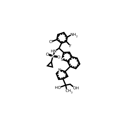 CC(O)(CO)c1ccnc(-c2cccc3cc(C(NS(=O)(=O)C4CC4)c4c(Cl)ccc(N)c4F)sc23)c1